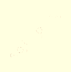 CCCCOC1CCC(c2ccc(C3CCC(OC(=O)c4ccc(OCC)cc4F)CC3)c(F)c2F)CC1